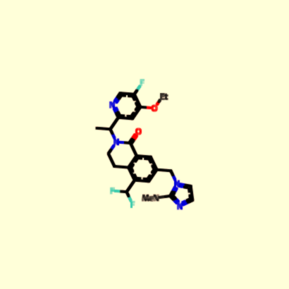 CCOc1cc(C(C)N2CCc3c(cc(Cn4ccnc4NC)cc3C(F)F)C2=O)ncc1F